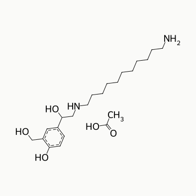 CC(=O)O.NCCCCCCCCCCCNCC(O)c1ccc(O)c(CO)c1